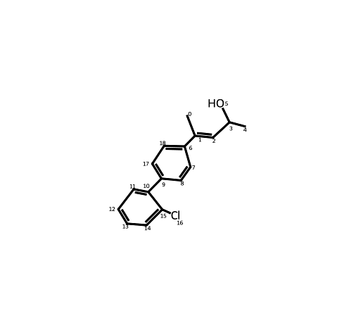 C/C(=C\C(C)O)c1ccc(-c2ccccc2Cl)cc1